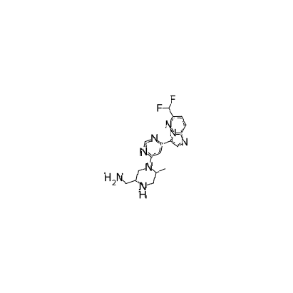 CC1CNC(CN)CN1c1cc(-c2cnc3ccc(C(F)F)nn23)ncn1